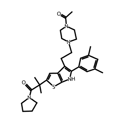 CC(=O)N1CCN(CCc2c(-c3cc(C)cc(C)c3)[nH]c3sc(C(C)(C)C(=O)N4CCCC4)cc23)CC1